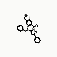 NCc1ccc(C(=O)n2nc(-c3ccccc3)cc2NCc2ccccc2)cc1